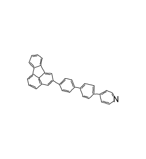 c1ccc2c(c1)-c1cccc3cc(-c4ccc(-c5ccc(-c6ccncc6)cc5)cc4)cc-2c13